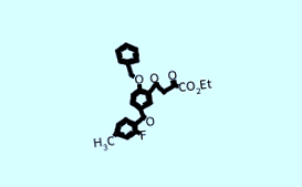 CCOC(=O)C(=O)CC(=O)c1cc(C(=O)c2ccc(C)cc2F)ccc1OCc1ccccc1